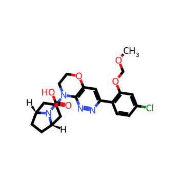 COCOc1cc(Cl)ccc1-c1cc2c(nn1)N(C1C[C@H]3CC[C@@H](C1)N3C(=O)O)CCO2